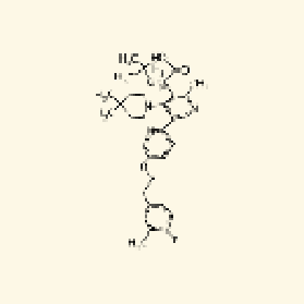 Cc1cc(CCOc2ccc(-c3cnc(C)c([C@H](OC(C)(C)C)C(=O)O)c3N3CCC(C)(C)CC3)nc2)ccc1F